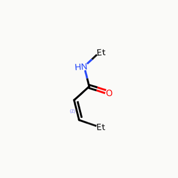 CC/C=C\C(=O)NCC